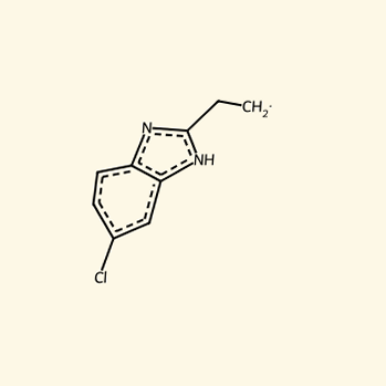 [CH2]Cc1nc2ccc(Cl)cc2[nH]1